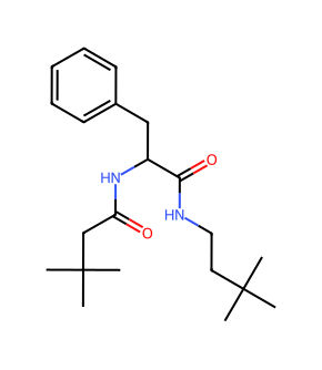 CC(C)(C)CCNC(=O)C(Cc1ccccc1)NC(=O)CC(C)(C)C